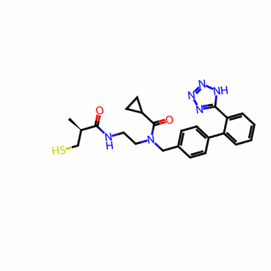 C[C@H](CS)C(=O)NCCN(Cc1ccc(-c2ccccc2-c2nnn[nH]2)cc1)C(=O)C1CC1